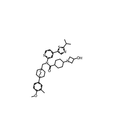 COc1ccc(C23CCC(CN(C(=O)C4CCC(N5CC(O)C5)CC4)c4cc(-c5cnc(C(C)C)s5)ccn4)(CC2)CC3)cc1C